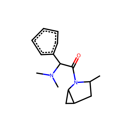 CC1CC2CC2N1C(=O)C(c1ccccc1)N(C)C